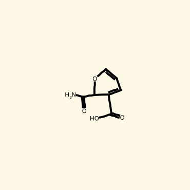 NC(=O)C1OC=CC=C1C(=O)O